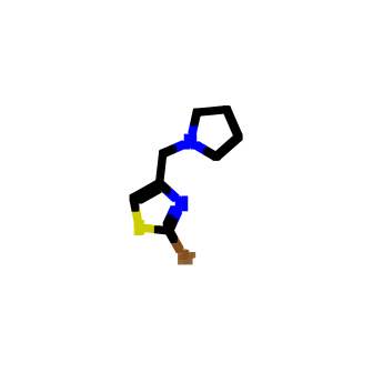 Brc1nc(CN2CCCC2)cs1